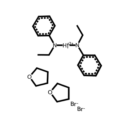 C1CCOC1.C1CCOC1.CC[N]([Hf+2][N](CC)c1ccccc1)c1ccccc1.[Br-].[Br-]